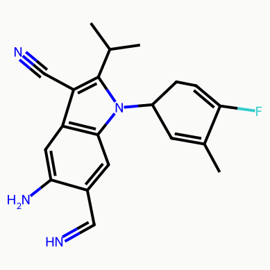 CC1=CC(n2c(C(C)C)c(C#N)c3cc(N)c(C=N)cc32)CC=C1F